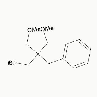 CCC(C)CC(COC)(COC)Cc1ccccc1